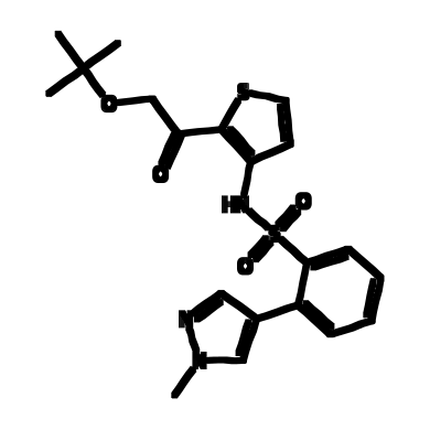 Cn1cc(-c2ccccc2S(=O)(=O)Nc2ccsc2C(=O)COC(C)(C)C)cn1